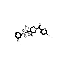 CC(C)(C1CCN(C(=O)c2ccc(C(F)(F)F)cn2)CC1)S(=O)(=O)c1cccc(C(F)(F)F)c1